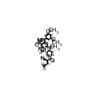 COc1cc(Nc2nc(N(C)C3CCN(C(=O)C(C#N)=CC4CC4)CC3)n3ccnc3c2C(N)=O)cc(OC)c1